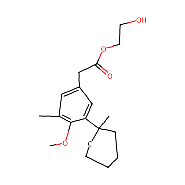 COc1c(C)cc(CC(=O)OCCO)cc1C1(C)CCCCC1